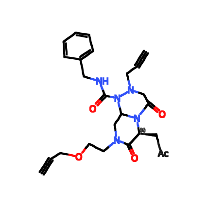 C#CCOCCN1CC2N(C(=O)CN(CC#C)N2C(=O)NCc2ccccc2)[C@@H](CC(C)=O)C1=O